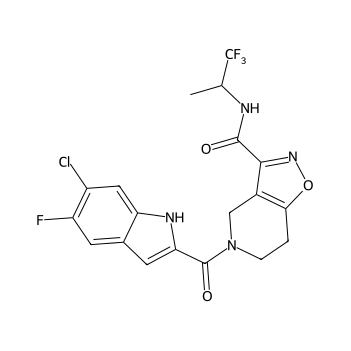 CC(NC(=O)c1noc2c1CN(C(=O)c1cc3cc(F)c(Cl)cc3[nH]1)CC2)C(F)(F)F